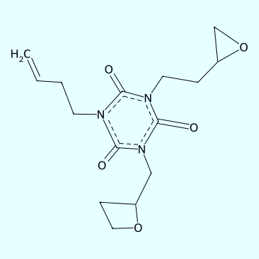 C=CCCn1c(=O)n(CCC2CO2)c(=O)n(CC2CCO2)c1=O